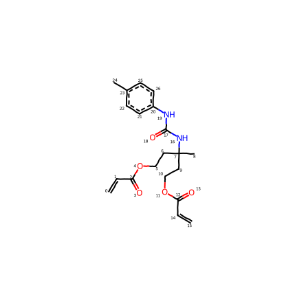 C=CC(=O)OCCC(C)(CCOC(=O)C=C)NC(=O)Nc1ccc(C)cc1